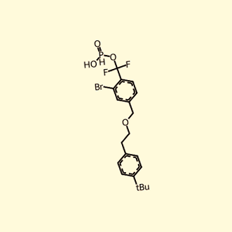 CC(C)(C)c1ccc(CCOCc2ccc(C(F)(F)O[PH](=O)O)c(Br)c2)cc1